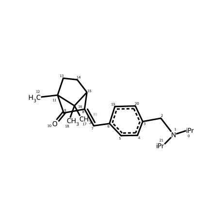 CC(C)N(Cc1ccc(/C=C2/C(=O)C3(C)CCC2C3(C)C)cc1)C(C)C